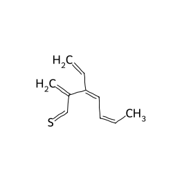 C=C/C(=C/C=C\C)C(=C)C=S